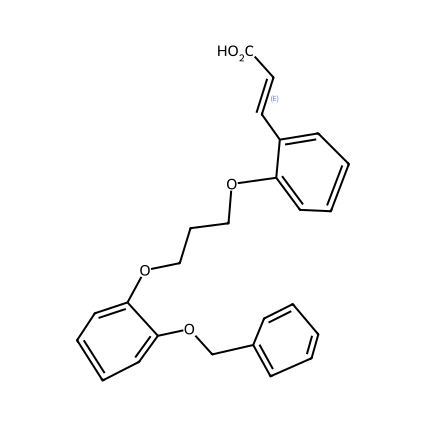 O=C(O)/C=C/c1ccccc1OCCCOc1ccccc1OCc1ccccc1